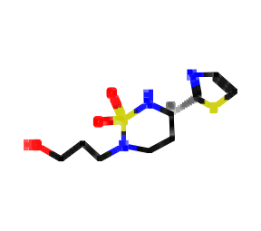 O=S1(=O)N[C@H](c2nccs2)CCN1CCCO